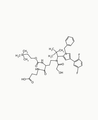 CC(C)(C)C(c1cc(-c2cc(F)ccc2F)cn1Cc1ccccc1)N(CCC(NC(=O)OCC[Si](C)(C)C)C(=O)NCCC(=O)O)C(=O)CO